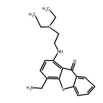 CCN(CC)CCNc1ccc(CN)c2sc3ccccc3c(=O)c12